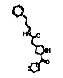 O=C(CC1CN[C@H](C(=O)N2CCSC2)C1)NCCCc1ccccc1